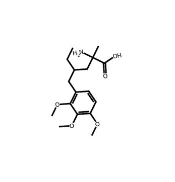 CCC(Cc1ccc(OC)c(OC)c1OC)CC(C)(N)C(=O)O